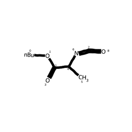 CCCCOC(=O)C(C)N=C=O